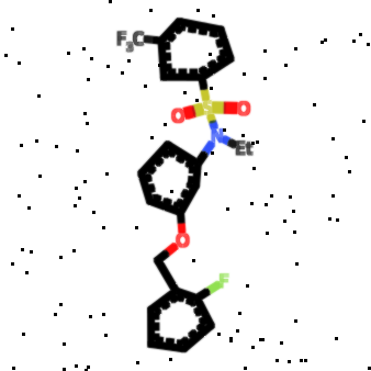 CCN(c1cccc(OCc2ccccc2F)c1)S(=O)(=O)c1cccc(C(F)(F)F)c1